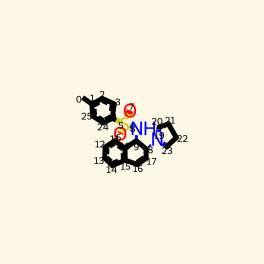 Cc1ccc(S(=O)(=O)N[C@@H]2c3ccccc3C=C[C@H]2N2CCCC2)cc1